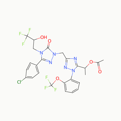 CC(=O)OC(C)c1nc(Cn2nc(-c3ccc(Cl)cc3)n(CC(O)C(F)(F)F)c2=O)nn1-c1ccccc1OC(F)(F)F